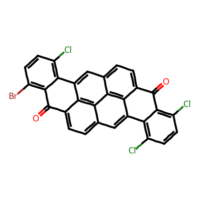 O=c1c2ccc3cc4c5c(Cl)ccc(Br)c5c(=O)c5ccc6cc(c7c(Cl)ccc(Cl)c17)c2c3c6c54